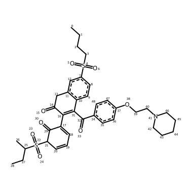 CCCCS(=O)(=O)c1ccc2c(c1)CC(=O)C(C1=CC=CC(S(=O)(=O)C(C)CC)C1=O)=C2C(=O)c1ccc(OCCN2CCCCC2)cc1